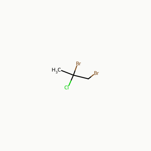 CC(Cl)(Br)CBr